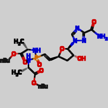 CCCCOC(=O)[C@H](C)NP(=O)(/C=C/[C@@H]1C[C@@H](O)[C@H](n2cnc(C(N)=O)n2)O1)N[C@@H](C)C(=O)OCCCC